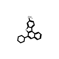 Cc1ccc2c(c1)sc1c(C3CCCCC3)cc3ccccc3c12